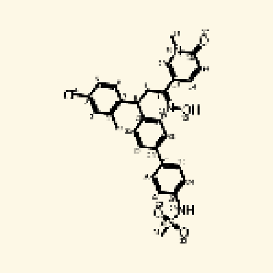 Cc1cc(Cl)ccc1C(CC(=NO)c1ccc(=O)n(C)c1)c1ccc(-c2ccc(NS(C)(=O)=O)cc2)cc1